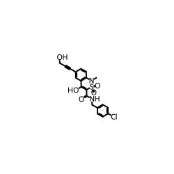 CN1c2ccc(C#CCO)cc2C(O)=C(C(=O)NCc2ccc(Cl)cc2)S1(=O)=O